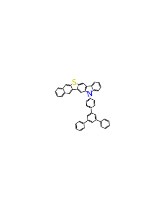 c1ccc(-c2cc(-c3ccccc3)cc(-c3ccc(-n4c5ccccc5c5cc6sc7cc8ccccc8cc7c6cc54)cc3)c2)cc1